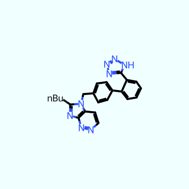 CCCCc1nc2nnccc2n1Cc1ccc(-c2ccccc2-c2nnn[nH]2)cc1